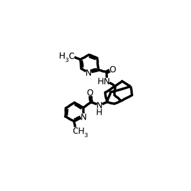 Cc1ccc(C(=O)NC23CC4CC(C2)CC(NC(=O)c2cccc(C)n2)(C4)C3)nc1